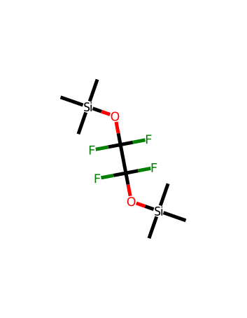 C[Si](C)(C)OC(F)(F)C(F)(F)O[Si](C)(C)C